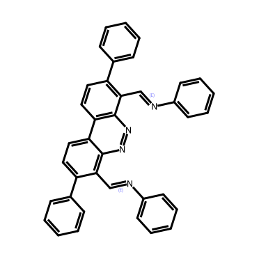 C(=N\c1ccccc1)/c1c(-c2ccccc2)ccc2c1nnc1c(/C=N/c3ccccc3)c(-c3ccccc3)ccc12